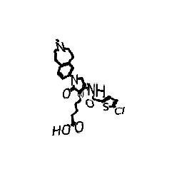 CN1CCc2ccc(N3C[C@H](NC(=O)c4ccc(Cl)s4)[C@@H](CCCCC(=O)O)C3=O)cc2CC1